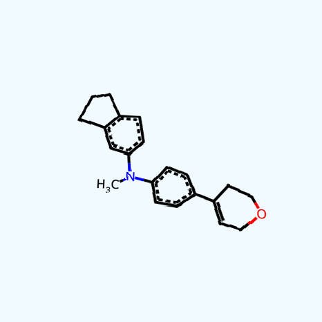 CN(c1ccc(C2=CCOCC2)cc1)c1ccc2c(c1)CCC2